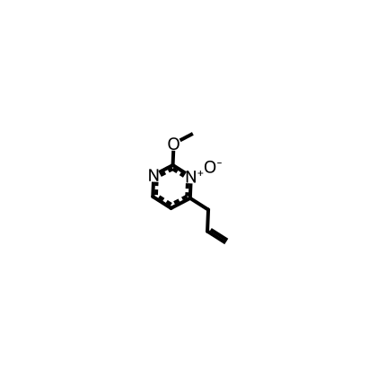 C=CCc1ccnc(OC)[n+]1[O-]